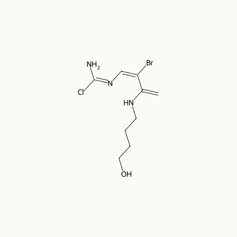 C=C(NCCCCO)/C(Br)=C\N=C(/N)Cl